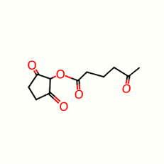 CC(=O)CCCC(=O)OC1C(=O)CCC1=O